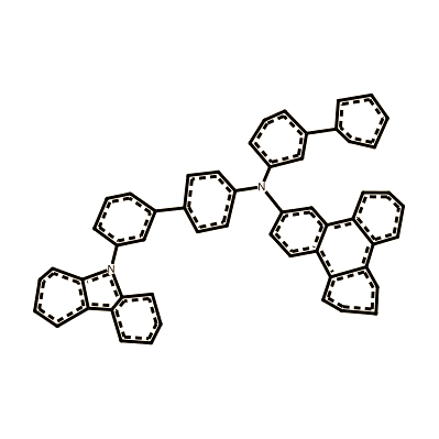 c1ccc(-c2cccc(N(c3ccc(-c4cccc(-n5c6ccccc6c6ccccc65)c4)cc3)c3ccc4c5ccccc5c5ccccc5c4c3)c2)cc1